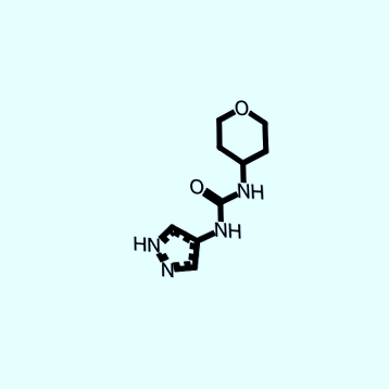 O=C(Nc1cn[nH]c1)NC1CCOCC1